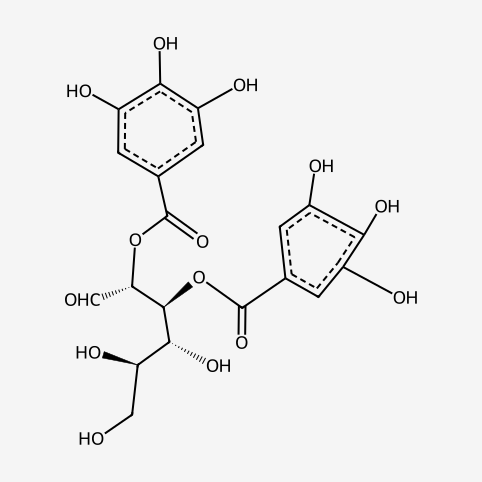 O=C[C@H](OC(=O)c1cc(O)c(O)c(O)c1)[C@@H](OC(=O)c1cc(O)c(O)c(O)c1)[C@H](O)[C@H](O)CO